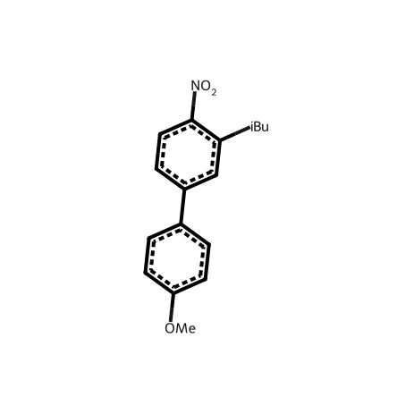 CCC(C)c1cc(-c2ccc(OC)cc2)ccc1[N+](=O)[O-]